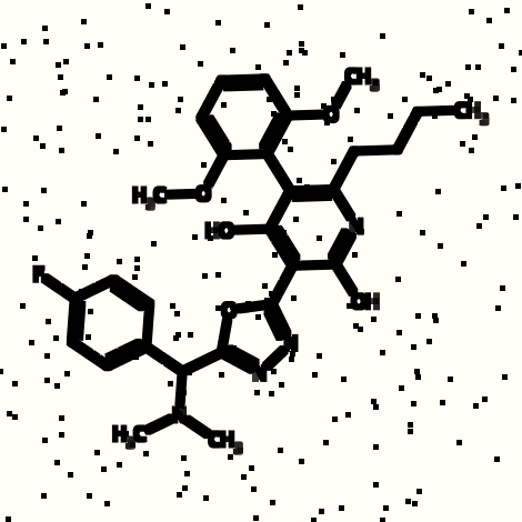 CCCCc1nc(O)c(-c2nnc(C(c3ccc(F)cc3)N(C)C)o2)c(O)c1-c1c(OC)cccc1OC